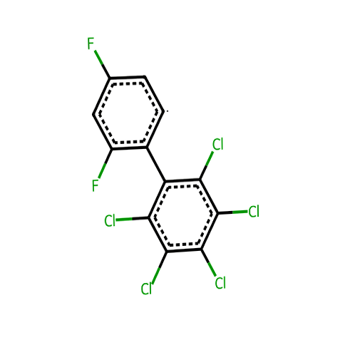 Fc1c[c]c(-c2c(Cl)c(Cl)c(Cl)c(Cl)c2Cl)c(F)c1